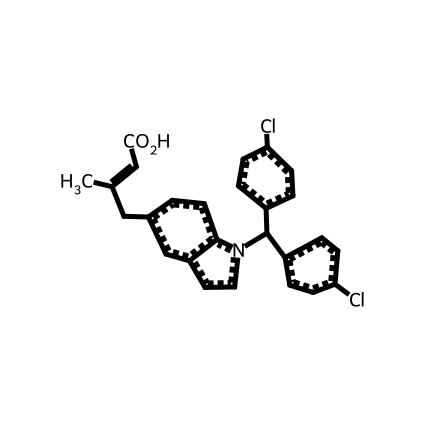 CC(=CC(=O)O)Cc1ccc2c(ccn2C(c2ccc(Cl)cc2)c2ccc(Cl)cc2)c1